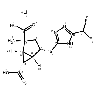 Cl.N[C@@]1(C(=O)O)C[C@H](Sc2nnc(C(F)F)[nH]2)[C@H]2[C@H](C(=O)O)[C@H]21